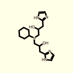 OC(Cc1ncc[nH]1)CN(CC(O)Cc1ncc[nH]1)C1CCCCC1